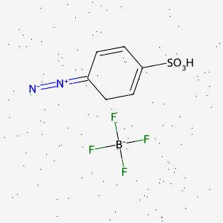 F[B-](F)(F)F.[N-]=[N+]=C1C=CC(S(=O)(=O)O)=CC1